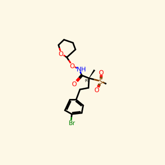 C[C@@](CCc1ccc(Br)cc1)(C(=O)NOC1CCCCO1)S(C)(=O)=O